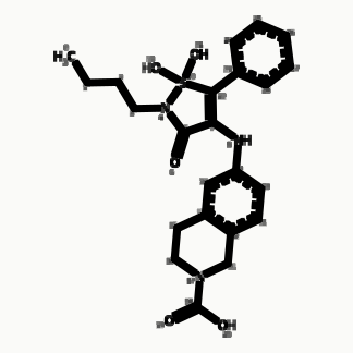 CCCCN1C(=O)C(Nc2ccc3c(c2)CCN(C(=O)O)C3)=C(c2ccccc2)S1(O)O